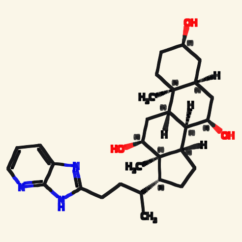 CC(CCc1nc2cccnc2[nH]1)[C@H]1CC[C@H]2[C@@H]3[C@H](O)C[C@@H]4C[C@H](O)CC[C@]4(C)[C@H]3C[C@H](O)[C@]12C